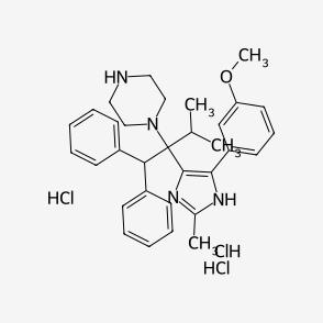 COc1cccc(-c2[nH]c(C)nc2C(C(C)C)(C(c2ccccc2)c2ccccc2)N2CCNCC2)c1.Cl.Cl.Cl